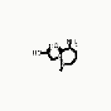 CN1CCCC(N)C(=O)N1CC(=O)O